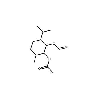 CC(=O)OC1C(C)CCC(C(C)C)C1OC=O